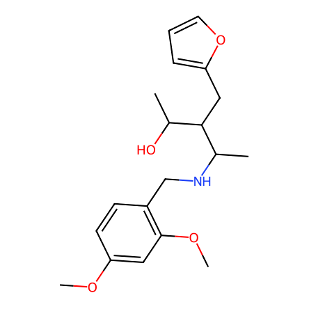 COc1ccc(CNC(C)C(Cc2ccco2)C(C)O)c(OC)c1